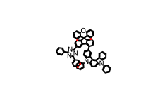 c1ccc(-c2nc(-c3ccccc3)nc(-c3ccc4c(c3)-c3c(-c5ccc6c(c5)c5c7c8ccccc8n(-c8ccccc8)c7ccc5n6-c5ccccc5)cccc3C43c4ccccc4Oc4ccccc43)n2)cc1